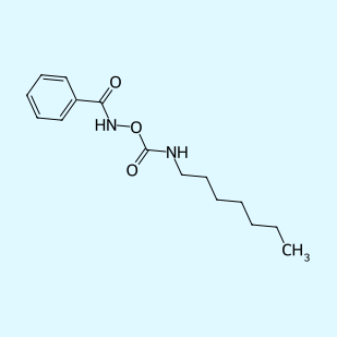 CCCCCCCNC(=O)ONC(=O)c1ccccc1